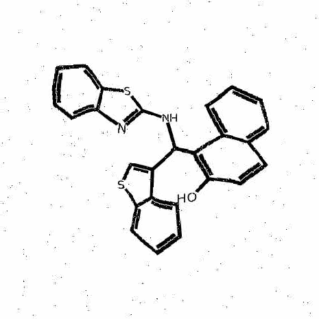 Oc1ccc2ccccc2c1C(Nc1nc2ccccc2s1)c1csc2ccccc12